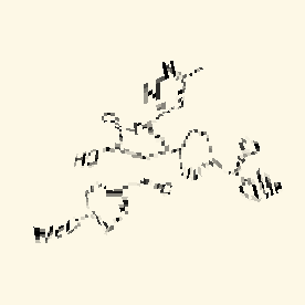 COC(=O)C1C=CC(C2C(C(=O)c3ccc(OC)cc3)=C(O)C(=O)N2c2nnc(C)s2)=CC1